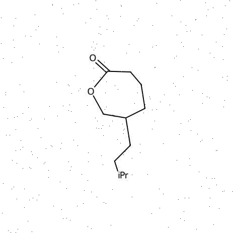 CC(C)CCC1CCCC(=O)OC1